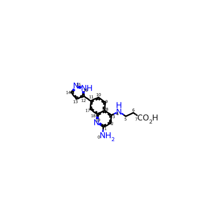 Nc1cc(NCCC(=O)O)c2ccc(-c3ccn[nH]3)cc2n1